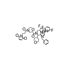 O=C(CCN1C(=O)C=CC1=O)N1CCO[C@@H](C(=O)N(C[C@@H]2CNC[C@@H]2F)C(c2nc(-c3cc(F)ccc3F)cn2Cc2ccccc2)C2CCOCC2)C1